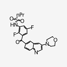 CCCS(=O)(=O)Nc1cc(F)cc(C(=O)c2ccc3ncc(N4CCOCC4)cc3c2)c1F